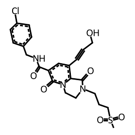 CS(=O)(=O)CCCN1CCn2c(c(C#CCO)cc(C(=O)NCc3ccc(Cl)cc3)c2=O)C1=O